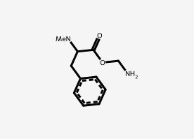 CNC(Cc1ccccc1)C(=O)OCN